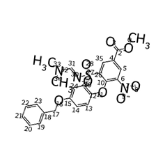 COC(=O)c1cc([N+](=O)[O-])c(Oc2ccc(OCc3ccccc3)cc2)c(S(=O)(=O)N=CN(C)C)c1